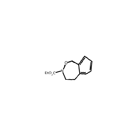 CCOC(=O)N1CCc2ccccc2CO1